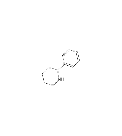 [CH]1CCCC(c2ccccc2)N1